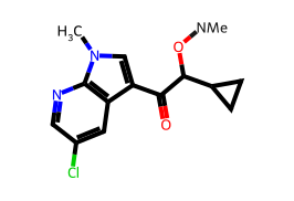 CNOC(C(=O)c1cn(C)c2ncc(Cl)cc12)C1CC1